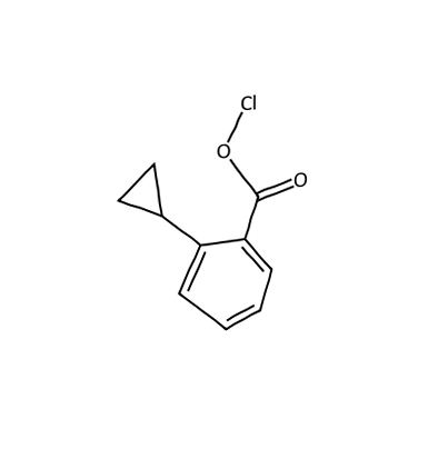 O=C(OCl)c1ccccc1C1CC1